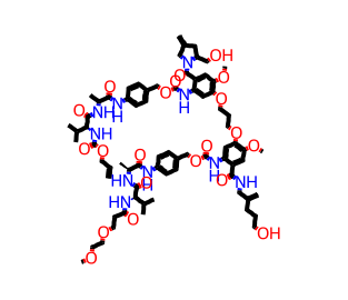 C=CCOC(=O)N[C@H](C(=O)NC(C)C(=O)Nc1ccc(COC(=O)Nc2cc(OCCCOc3cc(NC(=O)OCc4ccc(NC(=O)[C@H](C)NC(=O)[C@@H](NC(=O)CCOCCOC)C(C)C)cc4)c(C(=O)NCC(=C)CCCO)cc3OC)c(OC)cc2C(=O)N2CC(=C)CC2CO)cc1)C(C)C